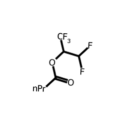 CCCC(=O)OC(C(F)F)C(F)(F)F